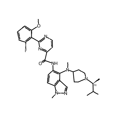 COc1cccc(F)c1-c1nccc(C(=O)Nc2ccc3c(cnn3C)c2N(C)C2CCN([C@@H](C)C(C)C)CC2)n1